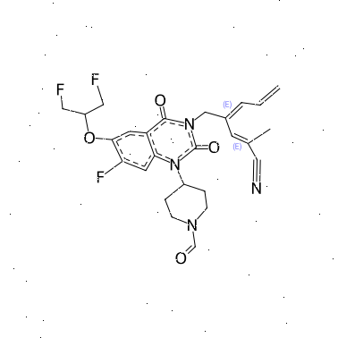 C=C/C=C(\C=C(/C)C#N)Cn1c(=O)c2cc(OC(CF)CF)c(F)cc2n(C2CCN(C=O)CC2)c1=O